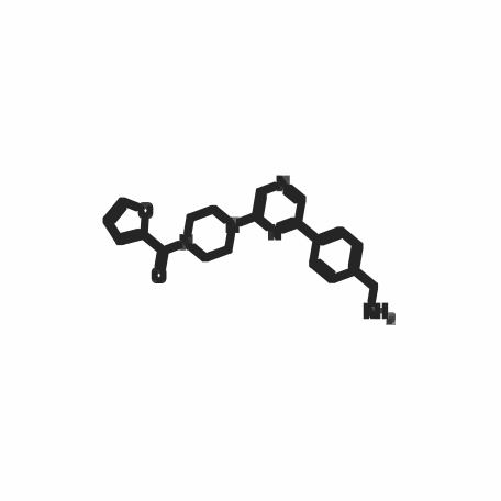 NCc1ccc(-c2cncc(N3CCN(C(=O)c4ccco4)CC3)n2)cc1